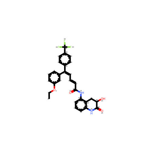 CCOc1cccc(C(=CC=CC(=O)Nc2cccc3c2CC(O)C(=O)N3)c2ccc(C(F)(F)F)cc2)c1